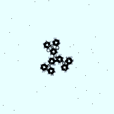 c1ccc2c(c1)Oc1cc(-n3c4ccc(-n5c6ccccc6c6ccccc65)cc4c4cc(-n5c6ccccc6c6ccccc65)ccc43)cc3c1B2c1ccccc1O3